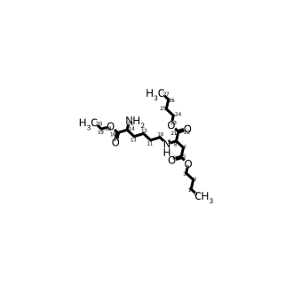 CCCCOC(=O)CC(NCCCCC(N)C(=O)OCC)C(=O)OCCCC